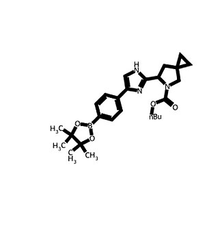 CCCCOC(=O)N1CC2(CC2)CC1c1nc(-c2ccc(B3OC(C)(C)C(C)(C)O3)cc2)c[nH]1